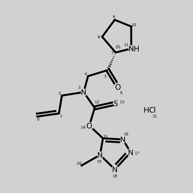 C=CCN(CC(=O)[C@@H]1CCCN1)C(=S)Oc1nnnn1C.Cl